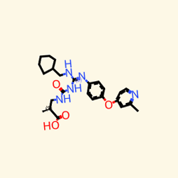 Cc1cc(Oc2ccc(/N=C(/NCC3CCCCC3)NC(=O)NC[C@H](C)C(=O)O)cc2)ccn1